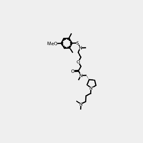 COc1cc(C)c(SN(C)CCOCC(=O)N(C)C[C@@H]2CCN(CCCN(C)C)C2)c(C)c1